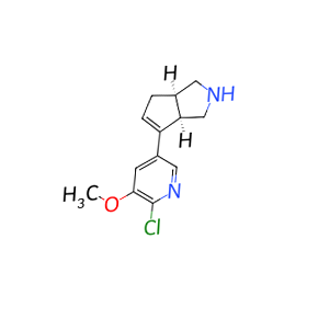 COc1cc(C2=CC[C@H]3CNC[C@@H]23)cnc1Cl